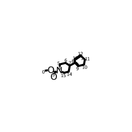 COC(=O)N1CCC(C2=CC[CH]C=C2)CC1